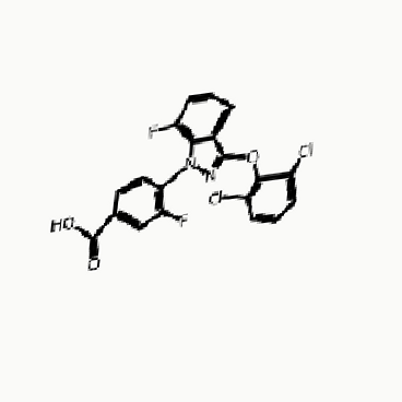 O=C(O)c1ccc(-n2nc(Oc3c(Cl)cccc3Cl)c3cccc(F)c32)c(F)c1